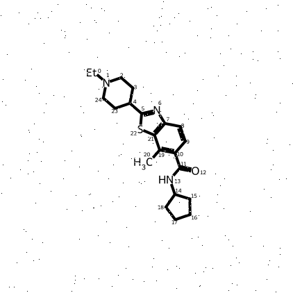 CCN1CCC(c2nc3ccc(C(=O)NC4CCCC4)c(C)c3s2)CC1